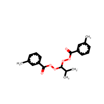 [CH2]C(C)[C](OOC(=O)c1cccc(C)c1)OOC(=O)c1cccc(C)c1